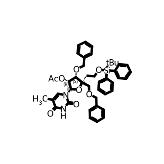 CC(=O)O[C@H]1[C@H](n2cc(C)c(=O)[nH]c2=O)O[C@](CCO[Si](c2ccccc2)(c2ccccc2)C(C)(C)C)(COCc2ccccc2)[C@H]1OCc1ccccc1